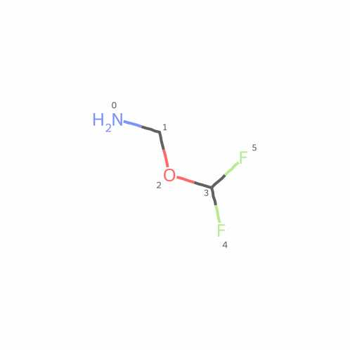 NCOC(F)F